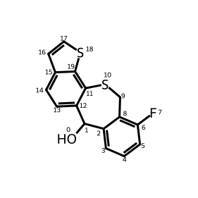 OC1c2cccc(F)c2CSc2c1ccc1ccsc21